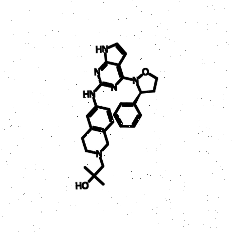 CC(C)(O)CN1CCc2cc(Nc3nc(N4OCC[C@H]4c4ccccc4)c4cc[nH]c4n3)ccc2C1